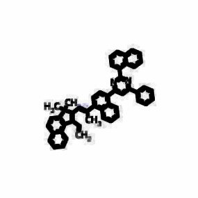 C=CC1=C(/C=C(\C)c2ccc(-c3cc(-c4ccccc4)nc(-c4cccc5ccccc45)n3)c3ccccc23)C(C)(C)c2ccc3ccccc3c21